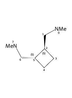 CNC[C@H]1CC[C@@H]1CNC